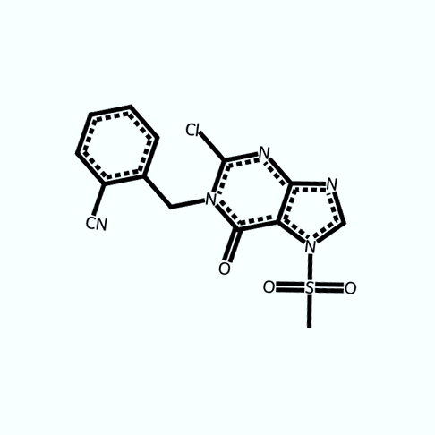 CS(=O)(=O)n1cnc2nc(Cl)n(Cc3ccccc3C#N)c(=O)c21